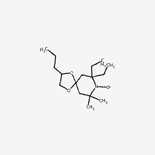 CCCC1COC2(CC(C)(C)N([O])C(CC)(CC)C2)O1